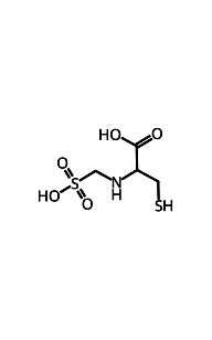 O=C(O)C(CS)NCS(=O)(=O)O